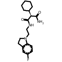 NC(=O)[C@@H](C(=O)NCCN1CCc2cc(F)ccc21)C1CCCCC1